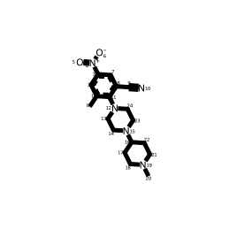 Cc1cc([N+](=O)[O-])cc(C#N)c1N1CCN(C2CCN(C)CC2)CC1